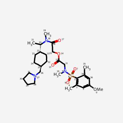 COc1cc(C)c(S(=O)(=O)N(C)CC(=O)OCC(=O)N(C)C(C)[C@H]2CC[C@H](CN3CCCC3)CC2)c(C)c1